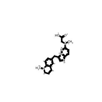 CN(CC(=O)O)c1ccc2ncc(Cc3ccc4c(c3)C=CCN4C)n2n1